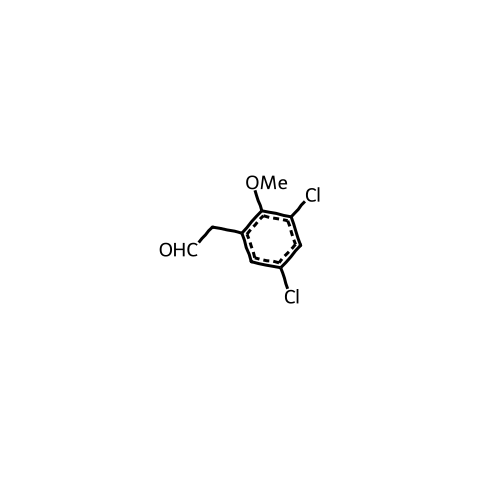 COc1c(Cl)cc(Cl)cc1CC=O